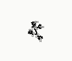 CC1(C)CC(C(=O)OC(CCC(COC(=O)C2CC(C)(C)N(O)C2(C)C)OC(O)C2CC(C)(C)NC2(C)C)COC(=O)C2CC(C)(C)N(O)C2(C)C)C(C)(C)N1